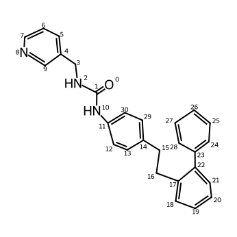 O=C(NCc1cccnc1)Nc1ccc(CCc2ccccc2-c2ccccc2)cc1